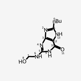 CCCCc1nc2nc(NCO)[nH]c(=O)c2[nH]1